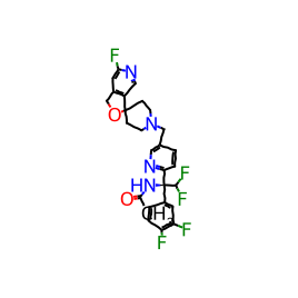 CC(=O)N[C@@](c1ccc(F)c(F)c1)(c1ccc(CN2CCC3(CC2)OCc2cc(F)ncc23)cn1)C(F)F